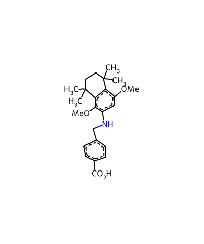 COc1cc(NCc2ccc(C(=O)O)cc2)c(OC)c2c1C(C)(C)CCC2(C)C